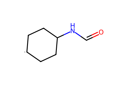 O=CNC1CC[CH]CC1